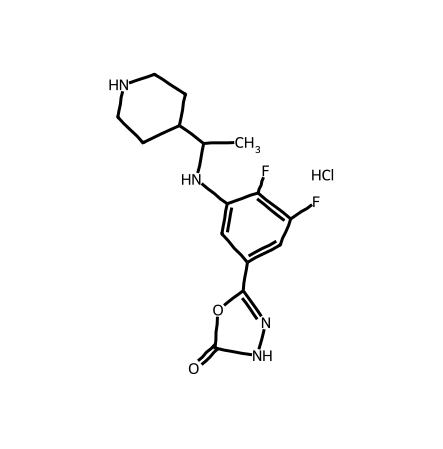 CC(Nc1cc(-c2n[nH]c(=O)o2)cc(F)c1F)C1CCNCC1.Cl